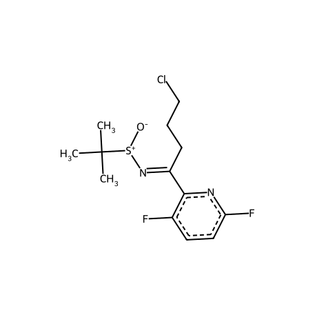 CC(C)(C)[S+]([O-])N=C(CCCCl)c1nc(F)ccc1F